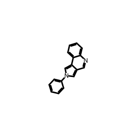 c1ccc(-n2cc3cnc4ccccc4c3c2)cc1